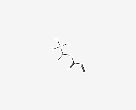 C=CC(=O)OC(C)[N+](CC)(CC)CC